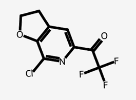 O=C(c1cc2c(c(Cl)n1)OCC2)C(F)(F)F